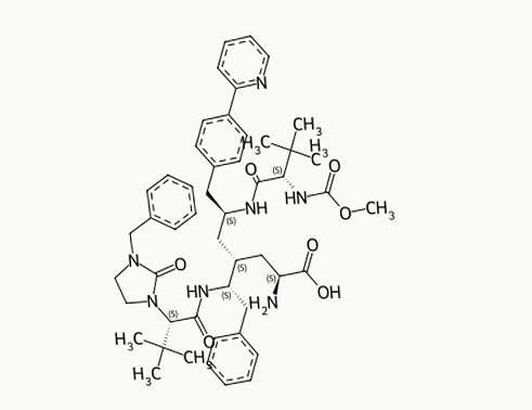 COC(=O)N[C@H](C(=O)N[C@H](Cc1ccc(-c2ccccn2)cc1)C[C@H](C[C@H](N)C(=O)O)[C@H](Cc1ccccc1)NC(=O)[C@@H](N1CCN(Cc2ccccc2)C1=O)C(C)(C)C)C(C)(C)C